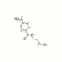 CCCOCCOC(=O)c1ccc(C(=O)O)cc1